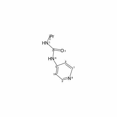 CC(C)NC(=O)Nc1ccncc1